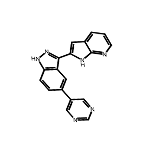 c1cnc2[nH]c(-c3n[nH]c4ccc(-c5cncnc5)cc34)cc2c1